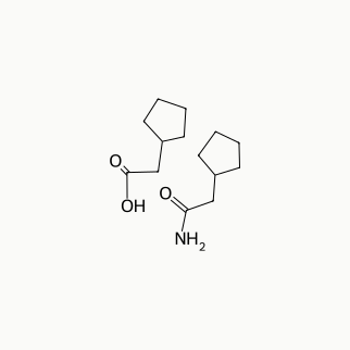 NC(=O)CC1CCCC1.O=C(O)CC1CCCC1